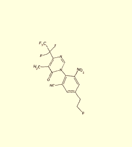 Cc1c(C(F)(F)C(F)(F)F)ncn(-c2c(C#N)cc(CCF)cc2[N+](=O)[O-])c1=O